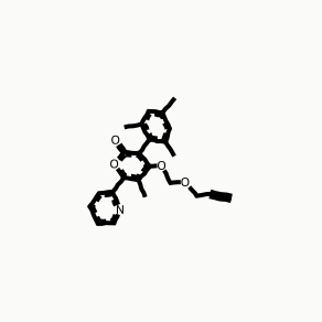 C#CCOCOc1c(C)c(-c2ccccn2)oc(=O)c1-c1c(C)cc(C)cc1C